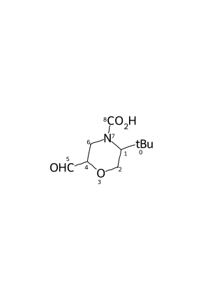 CC(C)(C)C1COC(C=O)CN1C(=O)O